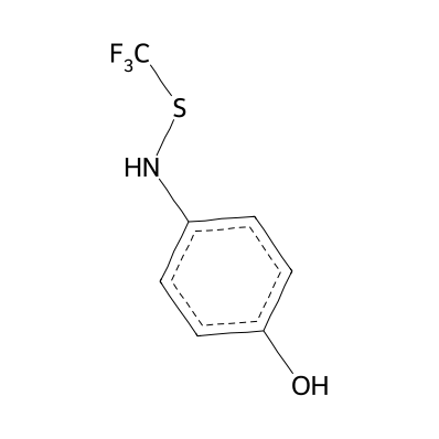 Oc1ccc(NSC(F)(F)F)cc1